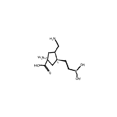 NCC1C[C@](N)(C(=O)O)C[C@@H]1CCB(O)O